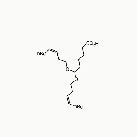 CCCC/C=C\CCOC(CCCCC(=O)O)OCC/C=C\CCCC